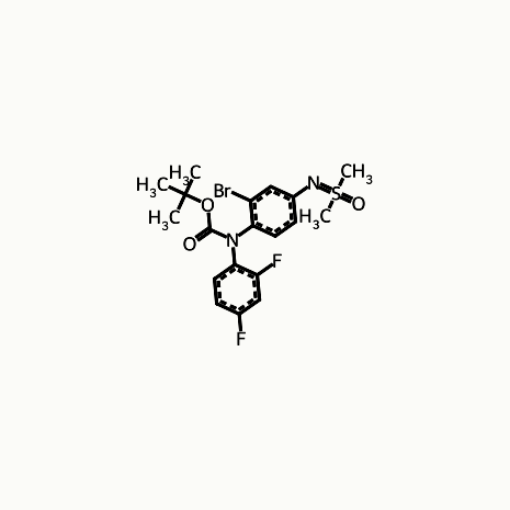 CC(C)(C)OC(=O)N(c1ccc(F)cc1F)c1ccc(N=S(C)(C)=O)cc1Br